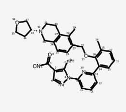 CCCc1c(C(=O)N=O)cnn1-c1cccc(-c2cccc(C)c2OCc2ccc3c(c2C)CCN([C@@H]2CCOC2)C3)n1